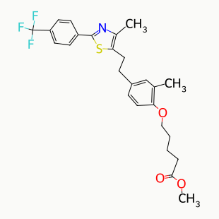 COC(=O)CCCCOc1ccc(CCc2sc(-c3ccc(C(F)(F)F)cc3)nc2C)cc1C